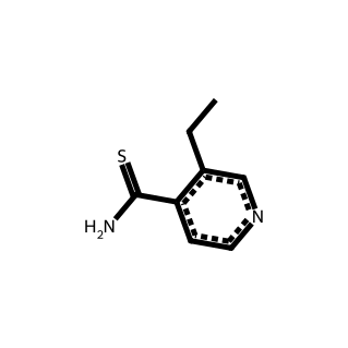 CCc1cnccc1C(N)=S